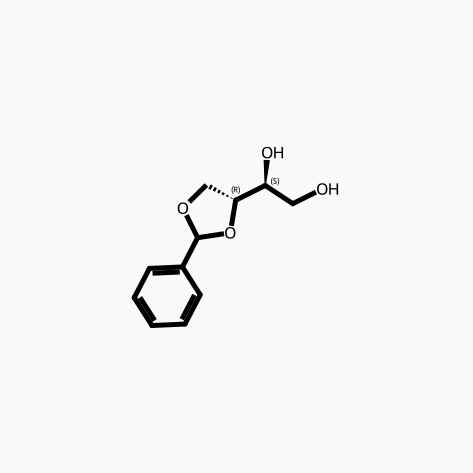 OC[C@H](O)[C@H]1COC(c2ccccc2)O1